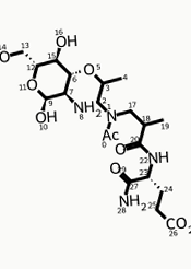 CC(=O)N(CC(C)O[C@@H]1[C@@H](N)[C@@H](O)O[C@H](CO)[C@H]1O)CC(C)C(=O)N[C@H](CCC(=O)O)C(N)=O